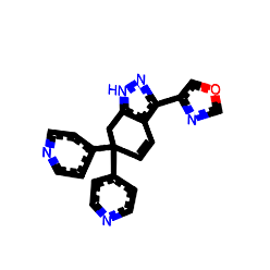 C1=CC(c2ccncc2)(c2ccncc2)Cc2[nH]nc(-c3cocn3)c21